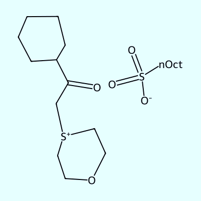 CCCCCCCCS(=O)(=O)[O-].O=C(C[S+]1CCOCC1)C1CCCCC1